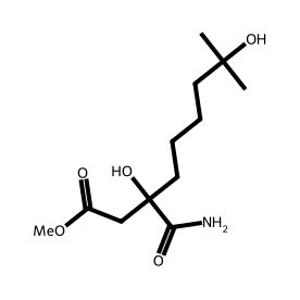 COC(=O)CC(O)(CCCCC(C)(C)O)C(N)=O